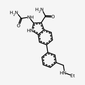 CCNCc1cccc(-c2ccc3c(C(N)=O)c(NC(N)=O)[nH]c3c2)c1